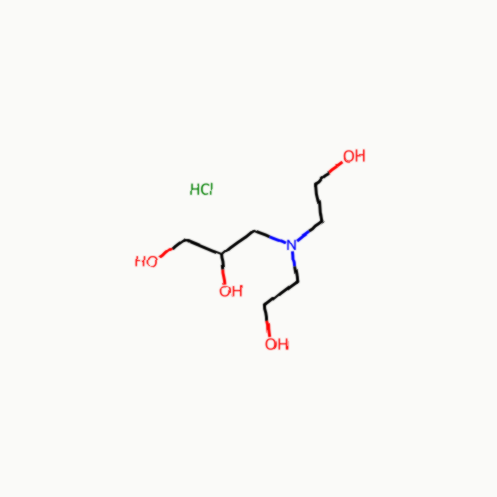 Cl.OCCN(CCO)CC(O)CO